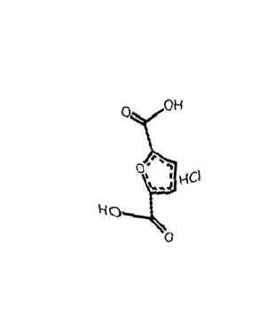 Cl.O=C(O)c1ccc(C(=O)O)o1